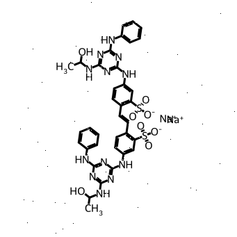 CC(O)Nc1nc(Nc2ccccc2)nc(Nc2ccc(/C=C/c3ccc(Nc4nc(Nc5ccccc5)nc(NC(C)O)n4)cc3S(=O)(=O)[O-])c(S(=O)(=O)[O-])c2)n1.[Na+].[Na+]